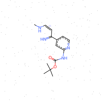 CN/C=C\C(=N)c1ccnc(NC(=O)OC(C)(C)C)c1